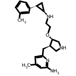 Cc1cccc([C@@H]2C[C@H]2NCCO[C@H]2CNC[C@H]2Cc2cc(C)cc(N)n2)c1